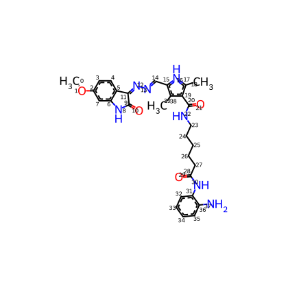 COc1ccc2c(c1)NC(=O)C2=NN=Cc1[nH]c(C)c(C(=O)NCCCCCC(=O)Nc2ccccc2N)c1C